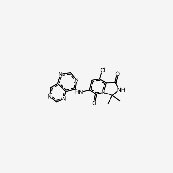 CC1(C)NC(=O)c2c(Cl)cc(Nc3ncnc4cncnc34)c(=O)n21